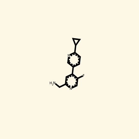 NCc1cc(-c2ccc(C3CC3)nc2)c(F)cn1